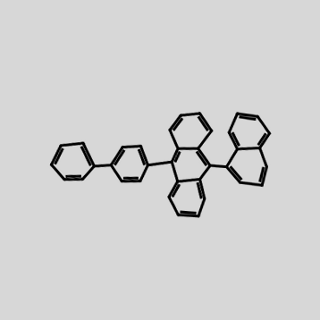 c1ccc(-c2ccc(-c3c4ccccc4c(-c4cccc5ccccc45)c4ccccc34)cc2)cc1